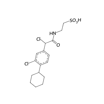 O=C(NCCS(=O)(=O)O)C(Cl)c1ccc(C2CCCCC2)c(Cl)c1